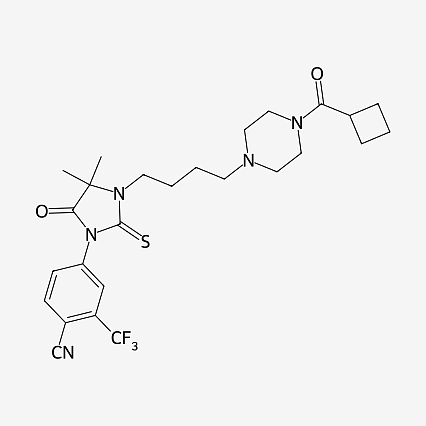 CC1(C)C(=O)N(c2ccc(C#N)c(C(F)(F)F)c2)C(=S)N1CCCCN1CCN(C(=O)C2CCC2)CC1